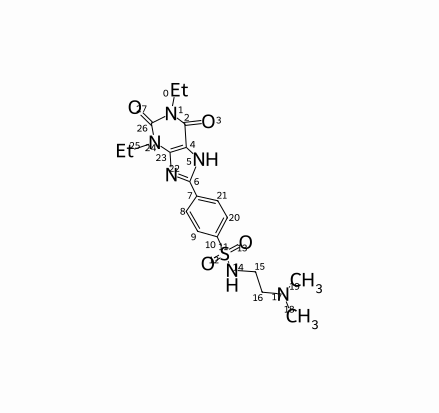 CCn1c(=O)c2[nH]c(-c3ccc(S(=O)(=O)NCCN(C)C)cc3)nc2n(CC)c1=O